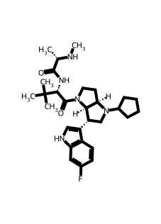 CN[C@@H](C)C(=O)N[C@H](C(=O)N1CC[C@@H]2[C@H]1[C@@H](c1c[nH]c3cc(F)ccc13)CN2C1CCCC1)C(C)(C)C